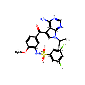 COc1ccc(C(=O)c2cn(C(C)C)c3ncnc(N)c23)cc1NS(=O)(=O)c1cc(F)cc(F)c1